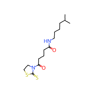 CC(C)CCCCNC(=O)CCCC(=O)N1CCSC1=S